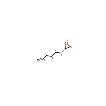 CCCCCCC[C@H]1CO1